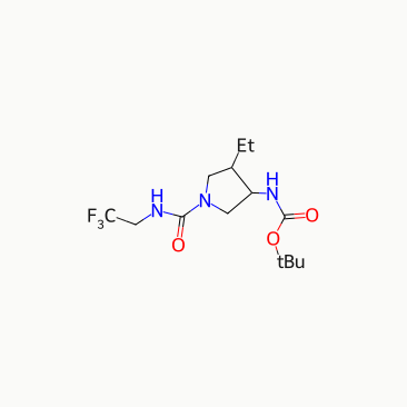 CCC1CN(C(=O)NCC(F)(F)F)CC1NC(=O)OC(C)(C)C